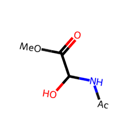 COC(=O)C(O)NC(C)=O